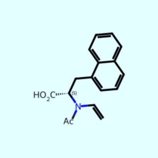 C=CN(C(C)=O)[C@@H](Cc1cccc2ccccc12)C(=O)O